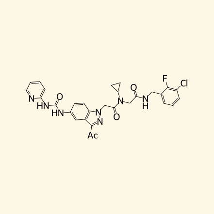 CC(=O)c1nn(CC(=O)N(CC(=O)NCc2cccc(Cl)c2F)C2CC2)c2ccc(NC(=O)Nc3ccccn3)cc12